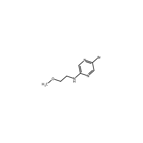 COCCNc1cnc(Br)cn1